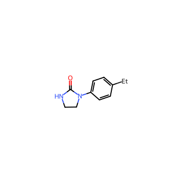 CCc1ccc(N2CCNC2=O)cc1